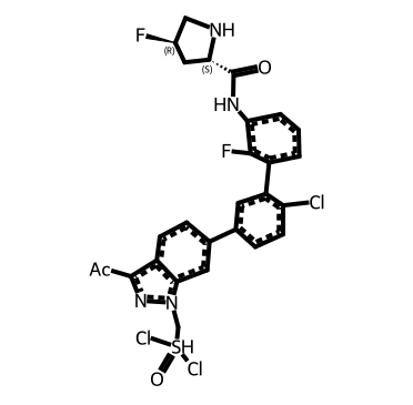 CC(=O)c1nn(C[SH](=O)(Cl)Cl)c2cc(-c3ccc(Cl)c(-c4cccc(NC(=O)[C@@H]5C[C@@H](F)CN5)c4F)c3)ccc12